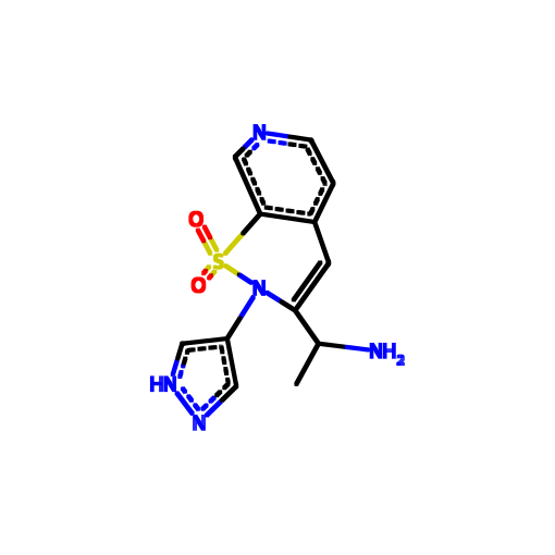 CC(N)C1=Cc2ccncc2S(=O)(=O)N1c1cn[nH]c1